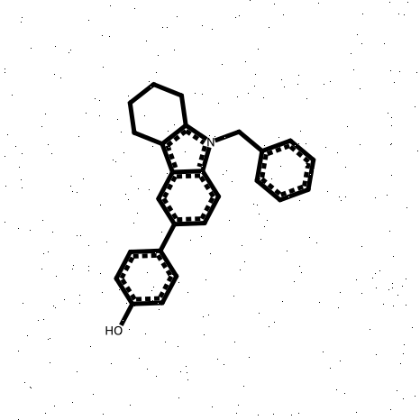 Oc1ccc(-c2ccc3c(c2)c2c(n3Cc3ccccc3)CCCC2)cc1